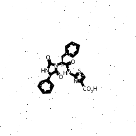 O=C(O)c1csc(NC(=O)[C@H](Cc2ccccc2)N2C(=O)NC(c3ccccc3)C2=O)n1